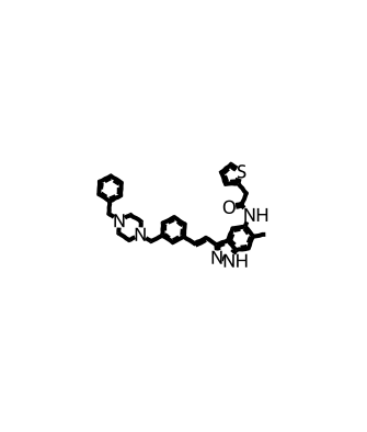 Cc1cc2[nH]nc(C=Cc3cccc(CN4CCN(Cc5ccccc5)CC4)c3)c2cc1NC(=O)Cc1cccs1